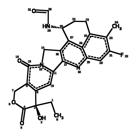 CC[C@]1(O)C(=O)OCc2c1cc1n(c2=O)Cc2c-1nc1cc(F)c(C)c3c1c2[C@H](NC=O)CC3